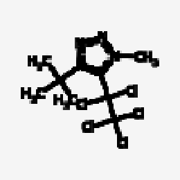 Cn1nnc(C(C)(C)C)c1C(Cl)(Cl)C(Cl)(Cl)Cl